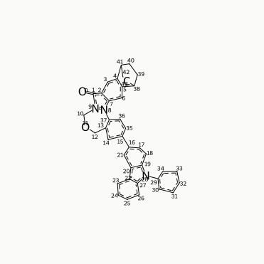 O=c1c2cc3c(cc2n2n1COCc1cc(-c4ccc5c(c4)c4ccccc4n5-c4ccccc4)ccc1-2)C1CCC3CC1